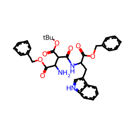 CC(C)(C)OC(=O)C(C(=O)NC(Cc1c[nH]c2ccccc12)C(=O)OCc1ccccc1)C(N)C(=O)OCc1ccccc1